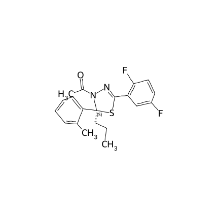 CCC[C@@]1(c2ccccc2C)SC(c2cc(F)ccc2F)=NN1C(C)=O